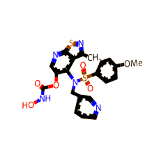 COc1ccc(S(=O)(=O)N(Cc2cccnc2)c2c(OC(=O)NO)cnc3snc(C)c23)cc1